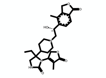 CCC1(C2CCN(C[C@H](O)c3ccc4c(c3C)COC4=O)CC2)CNC(=O)N1C1=C(C)C(=O)OC1